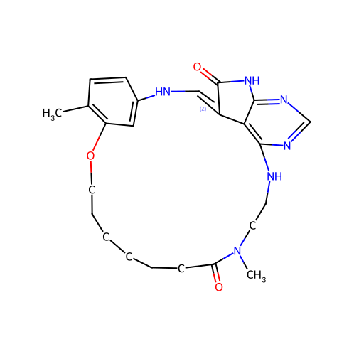 Cc1ccc2cc1OCCCCCCC(=O)N(C)CCNc1ncnc3c1/C(=C/N2)C(=O)N3